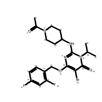 CC(=O)N1CCC(Nc2nc(OCc3ccc(F)cc3F)c(Br)c(=O)n2C(C)C)CC1